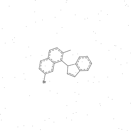 Cc1ccc2ccc(Br)cc2c1C1C=Cc2ccccc21